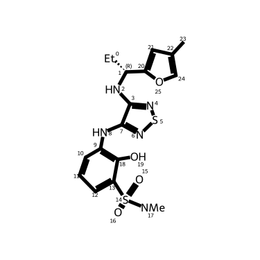 CC[C@@H](Nc1nsnc1Nc1cccc(S(=O)(=O)NC)c1O)c1cc(C)co1